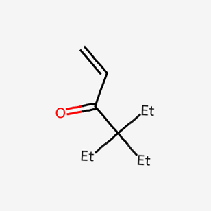 C=CC(=O)C(CC)(CC)CC